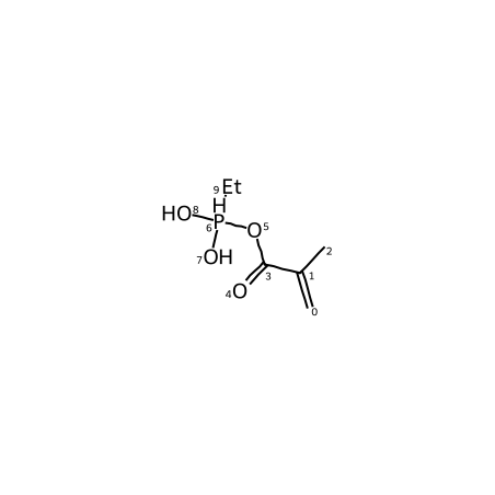 C=C(C)C(=O)O[PH](O)(O)CC